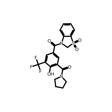 O=C(c1cc(C(=O)N2CS(=O)(=O)c3ccccc32)cc(C(F)(F)F)c1O)N1CCCC1